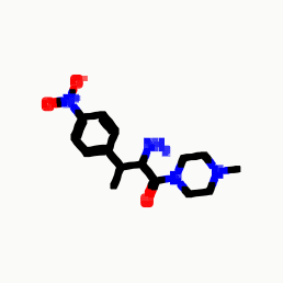 CC(c1ccc([N+](=O)[O-])cc1)C(N)C(=O)N1CCN(C)CC1